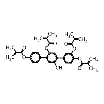 C=C(C)C(=O)Oc1ccc(-c2cc(C)c(-c3ccc(OC(=O)C(=C)C)c(OC(=O)C(=C)C)c3)cc2OC(=O)C(=C)C)cc1